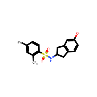 CC(C)c1ccc(S(=O)(=O)NC2Cc3ccc([O])cc3C2)c(C(F)(F)F)c1